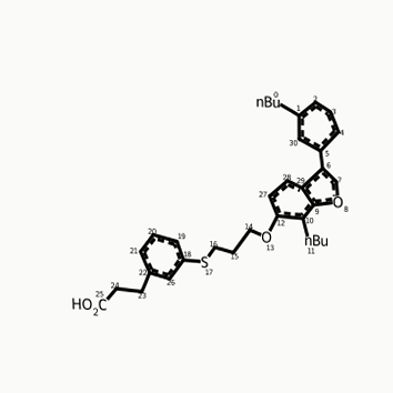 CCCCc1cccc(-c2coc3c(CCCC)c(OCCCSc4cccc(CCC(=O)O)c4)ccc23)c1